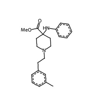 COC(=O)C1(Nc2ccccc2)CCN(CCc2cccc(C)c2)CC1